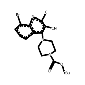 CC(C)(C)OC(=O)N1CCN(c2c(C#N)c(Cl)nc3c(Br)cccc23)CC1